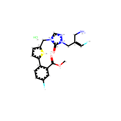 COC(=O)c1cc(F)ccc1-c1ccc(Cn2cnn(C/C(=C/F)CN)c2=O)s1.Cl